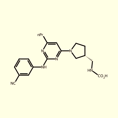 CCCc1cc(N2CC[C@H](CNC(=O)O)C2)nc(Nc2cccc(C#N)c2)n1